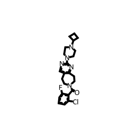 O=C(c1c(F)cccc1Cl)N1CCc2cnc(N3CCN(C4CCC4)CC3)nc2CC1